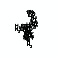 CC(C)(C)OC(=O)N1CCC2(CCCN2C[C@H]2O[C@@H](n3cc(F)c4c(N)ncnc43)[C@@H]3OC(C)(C)O[C@@H]32)CC1